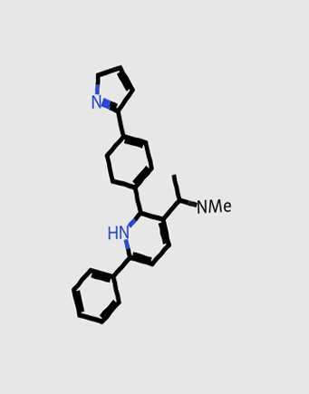 CNC(C)C1=CC=C(c2ccccc2)NC1C1=CC=C(C2=NCC=C2)CC1